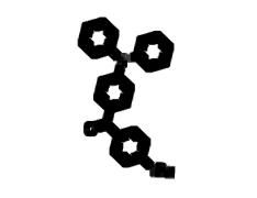 CC(C)(C)c1ccc(C(=O)c2ccc([S+](c3ccccc3)c3ccccc3)cc2)cc1